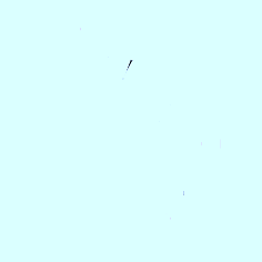 COC(=O)C1CC=C2[C@@](C)(CC[C@H]3C(C)(C)C4(CC[C@]23C)OCCO4)C1O